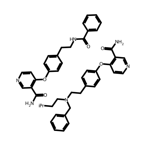 CC(C)CCN(CCc1ccc(Oc2ccncc2C(N)=O)cc1)Cc1ccccc1.NC(=O)c1cnccc1Oc1ccc(CCNC(=O)c2ccccc2)cc1